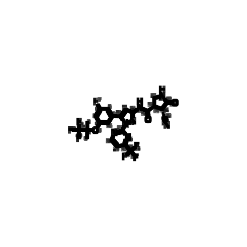 CC(C)(Oc1cc(F)cc(-c2cc(NC(=O)[C@H]3CNC(=O)[C@@H]3C#N)nn2-c2nccc(C(F)(F)F)n2)c1)C(F)(F)F